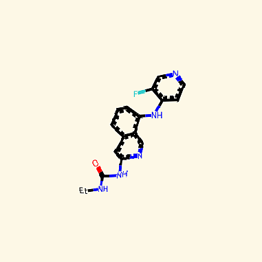 CCNC(=O)Nc1cc2cccc(Nc3ccncc3F)c2cn1